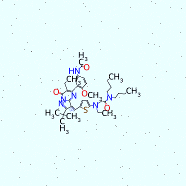 CCCCN(CCCC)C(=O)CN(CC)c1ccc(/C=c2/c(C(C)(C)C)nn3c(=O)c(CC)c(-c4cc(NC(C)=O)ccc4OC)nc23)s1